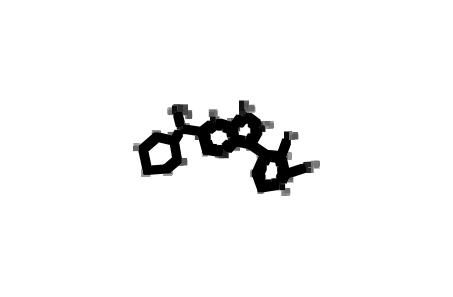 CN(c1cnc2c(-c3ccnc(Cl)c3F)n[nH]c2n1)C1CCCCC1